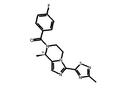 Cc1nsc(-c2n[c]c3n2CCN(C(=O)c2ccc(F)cc2)[C@@H]3C)n1